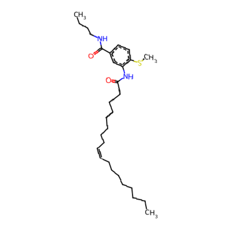 CCCCCCCC/C=C\CCCCCCCC(=O)Nc1cc(C(=O)NCCCC)ccc1SC